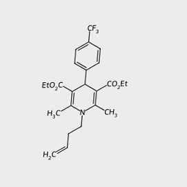 C=CCCN1C(C)=C(C(=O)OCC)C(c2ccc(C(F)(F)F)cc2)C(C(=O)OCC)=C1C